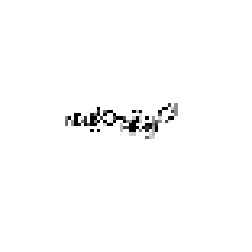 CCCCS(=O)(=O)c1ccc(C=CC(=O)Nc2nc(-c3ccncc3)cs2)cc1